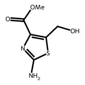 COC(=O)c1nc(N)sc1CO